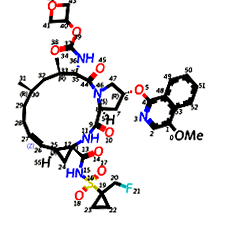 COc1cnc(O[C@@H]2C[C@H]3C(=O)N[C@]4(C(=O)NS(=O)(=O)C5(CF)CC5)C[C@H]4/C=C\CC[C@@H](C)C[C@@H](C)[C@H](NC(=O)OC4COC4)C(=O)N3C2)c2ccccc12